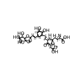 NC(CCC(=O)NC(CSc1cc(/C=C/C(=O)OC(C(=O)O)C(O)C(=O)O)cc(O)c1O)C(=O)NCC(=O)O)C(=O)O